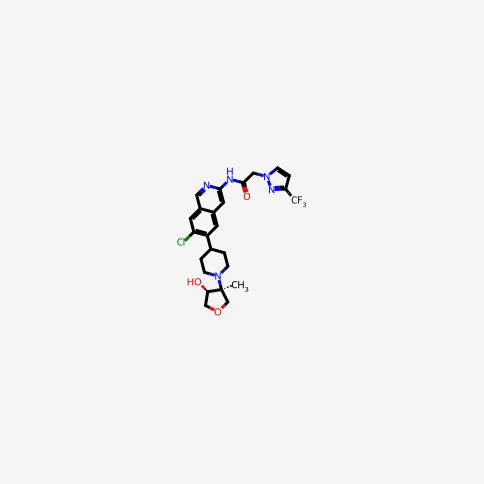 C[C@]1(N2CCC(c3cc4cc(NC(=O)Cn5ccc(C(F)(F)F)n5)ncc4cc3Cl)CC2)COC[C@H]1O